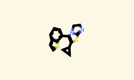 c1cc(C2=C(C3CC3)SC3=NCCN32)c2sccc2c1